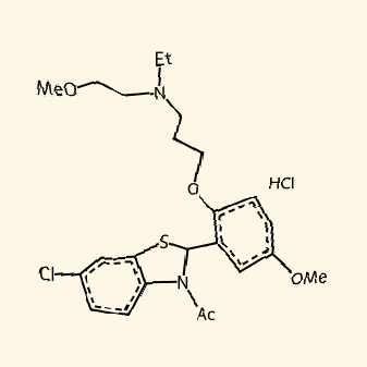 CCN(CCCOc1ccc(OC)cc1C1Sc2cc(Cl)ccc2N1C(C)=O)CCOC.Cl